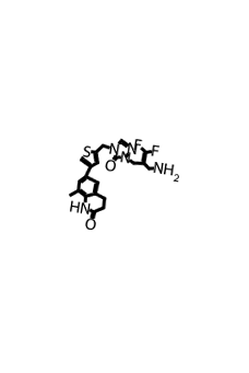 Cc1cc(-c2csc(Cn3cnn(CC(CN)=C(F)F)c3=O)c2)cc2c1NC(=O)CC2